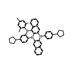 Cc1cc(C)c(B2c3cc(C4CCCC4)ccc3N3c4cc5ccccc5cc4N(c4ccc(C5CCCC5)cc4)c4cc5ccccc5c2c43)c(C)c1